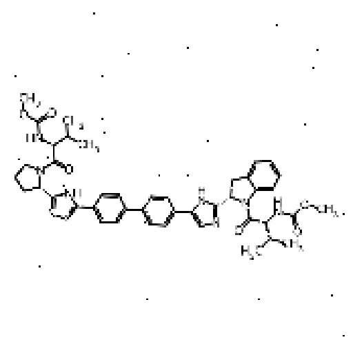 COC(=O)NC(C(=O)N1c2ccccc2C[C@H]1c1ncc(-c2ccc(-c3ccc(-c4cnc([C@@H]5CCCN5C(=O)[C@@H](NC(=O)OC)C(C)C)[nH]4)cc3)cc2)[nH]1)C(C)C